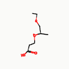 CCOCC(C)OCCC(=O)O